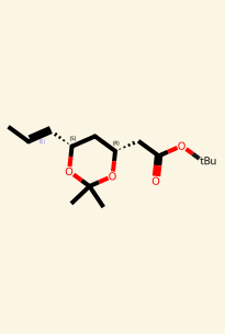 C/C=C/[C@@H]1C[C@H](CC(=O)OC(C)(C)C)OC(C)(C)O1